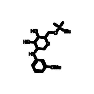 COc1cccc(NC2COC(CO[Si](C)(C)C(C)(C)C)C(O)C2O)c1